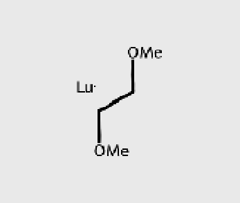 COCCOC.[Lu]